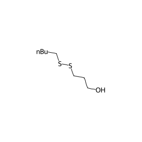 CCCCCSSCCCO